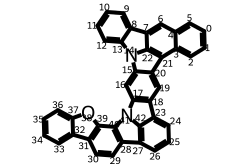 c1ccc2c(c1)cc1c3ccccc3n3c4cc5c(cc4c2c13)c1cccc2c3ccc4c6ccccc6oc4c3n5c12